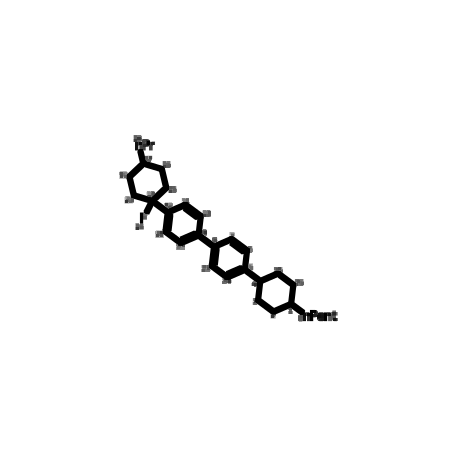 CCCCCC1CCC(c2ccc(-c3ccc(C4(F)CCC(CCC)CC4)cc3)cc2)CC1